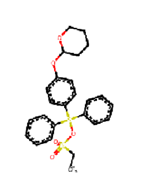 O=S(=O)(CC(F)(F)F)OS(c1ccccc1)(c1ccccc1)c1ccc(OC2CCCCO2)cc1